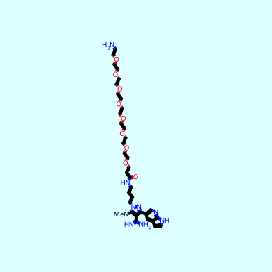 CNc1c(C(=N)N)c(-c2cnc3[nH]ccc3c2)nn1CCCCNC(=O)CCOCCOCCOCCOCCOCCOCCOCCOCCN